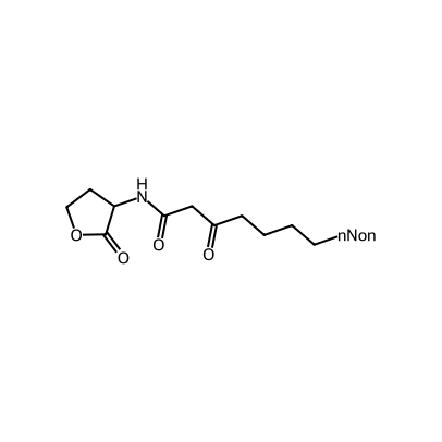 CCCCCCCCCCCCCC(=O)CC(=O)NC1CCOC1=O